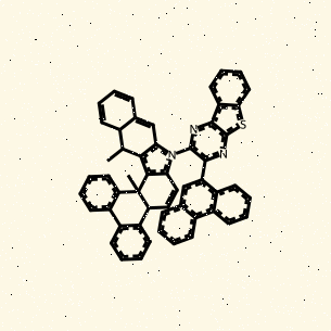 CC1c2c3c(n(-c4nc5c(nc4-c4cc6ccccc6c6ccccc46)sc4ccccc45)c2C=C2C=CC=CC21)C=CC1c2ccccc2-c2ccccc2C31C